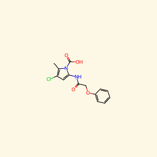 Cc1c(Cl)cc(NC(=O)COc2ccccc2)n1C(=O)O